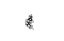 COC(=O)c1nn(-c2c(Cl)cc(C(F)(F)F)cc2Cl)c(Cl)c1C(F)F